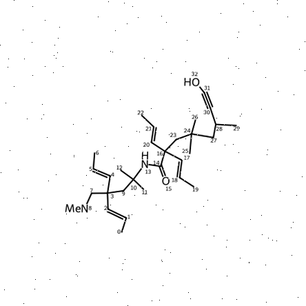 CC=CC(C=CC)(CNC)CC(C)(C)NC(=O)C(C=CC)(C=CC)CC(C)(C)CC(C)C#CO